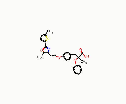 Cc1ccc(-c2nc(CCOc3ccc(CC(C)(Oc4ccccc4)C(=O)O)cc3)c(C)o2)s1